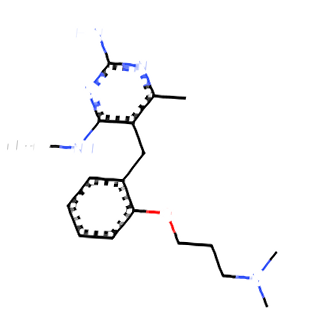 CCCCCNc1nc(N)nc(C)c1Cc1ccccc1OCCCN(C)C